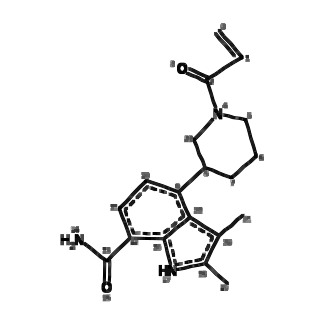 C=CC(=O)N1CCCC(c2ccc(C(N)=O)c3[nH]c(C)c(C)c23)C1